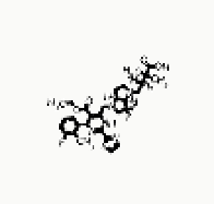 [2H]C([2H])(CN1CC[C@H]2[C@@H]1C(F)(F)CN2CC1=C(C(=O)OCC)[C@H](c2cccc(F)c2C)N=C(c2nccs2)N1)C(C)(C)C(=O)O